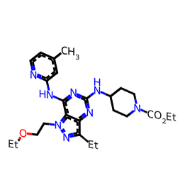 CCOCCn1nc(CC)c2nc(NC3CCN(C(=O)OCC)CC3)nc(Nc3cc(C)ccn3)c21